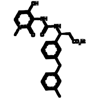 CCOC(=O)C[C@H](NC(=O)Nc1c(O)ccn(C)c1=O)c1cccc(Cc2cccc(C)c2)c1